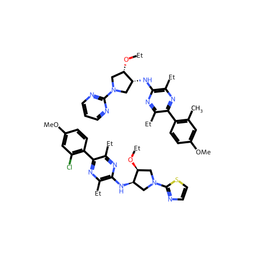 CCO[C@H]1CN(c2ncccn2)C[C@H]1Nc1nc(CC)c(-c2ccc(OC)cc2C)nc1CC.CCO[C@H]1CN(c2nccs2)C[C@H]1Nc1nc(CC)c(-c2ccc(OC)cc2Cl)nc1CC